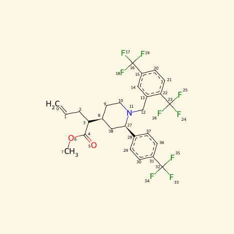 C=CCC(C(=O)OC)[C@H]1CCN(Cc2cc(C(F)(F)F)ccc2C(F)(F)F)[C@@H](c2ccc(C(F)(F)F)cc2)C1